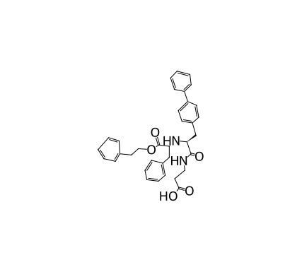 O=C(O)CCNC(=O)[C@H](Cc1ccc(-c2ccccc2)cc1)NC(Cc1ccccc1)C(=O)OCCc1ccccc1